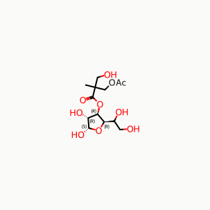 CC(=O)OCC(C)(CO)C(=O)O[C@@H]1[C@@H](O)[C@@H](O)O[C@@H]1C(O)CO